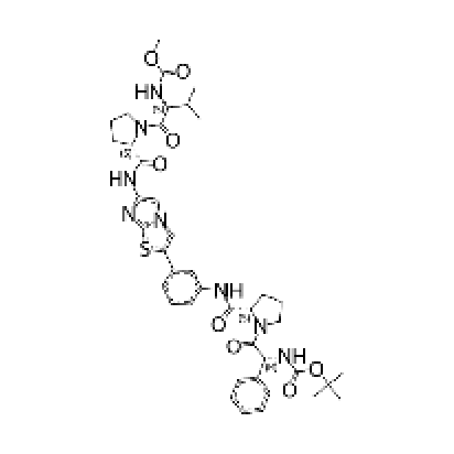 COC(=O)N[C@H](C(=O)N1CCC[C@H]1C(=O)Nc1cn2cc(-c3cccc(NC(=O)[C@@H]4CCCN4C(=O)[C@H](NC(=O)OC(C)(C)C)c4ccccc4)c3)sc2n1)C(C)C